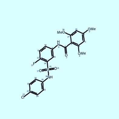 COc1cc(OC)c(C(=O)Nc2ccc(F)c(S(=O)(=O)Nc3ccc(Cl)cc3)c2)c(OC)c1